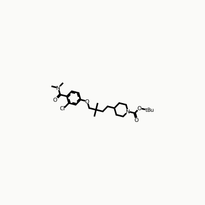 CN(C)C(=O)c1ccc(OCC(C)(C)CCC2CCN(C(=O)OC(C)(C)C)CC2)cc1Cl